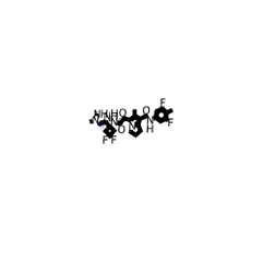 Cc1c(F)cc(NC(=O)c2c(C)c(C(=O)C(=O)NC3(/C(N)=C/N(C)N)CC(F)(F)C3)n3c2CCC3)cc1F